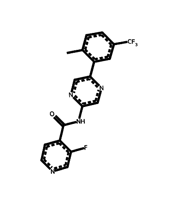 Cc1ccc(C(F)(F)F)cc1-c1cnc(NC(=O)c2ccncc2F)cn1